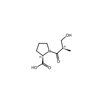 C[C@H](CO)C(=O)N1CCC[C@@H]1C(=O)O